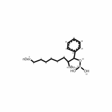 CCCCCCCCCCCCCCCCC(CCCC)C(OP(O)O)c1ccccc1